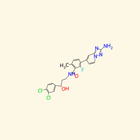 Cc1ccc(-c2ccn3nc(N)nc3c2)c(F)c1C(=O)NCCC(O)c1ccc(Cl)c(Cl)c1